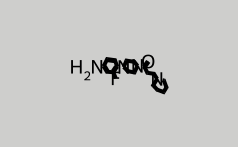 Nc1ccc(N2CCN(C(=O)CCN3CCCCC3)CC2)c(F)c1